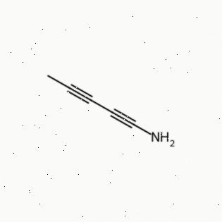 CC#CC#CN